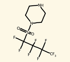 O=S(=O)(N1CCNCC1)C(F)(F)C(F)(F)C(F)(F)C(F)(F)F